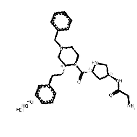 Cl.Cl.Cl.NCC(=O)N[C@@H]1CN[C@@H](C(=O)N2CCN(Cc3ccccc3)C[C@H]2CCc2ccccc2)C1